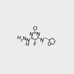 CN(Cc1ccco1)c1nc(Cl)nc(NN)c1F